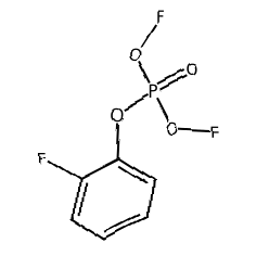 O=P(OF)(OF)Oc1ccccc1F